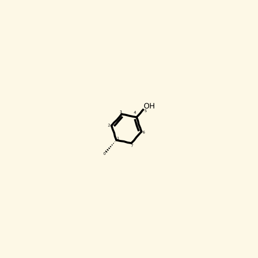 C[C@@H]1C=CC(O)=CC1